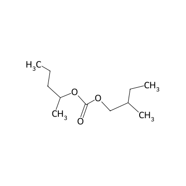 CCCC(C)OC(=O)OCC(C)CC